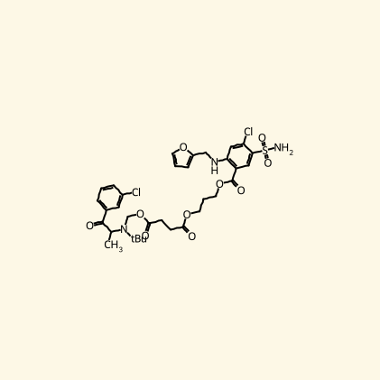 CC(C(=O)c1cccc(Cl)c1)N(COC(=O)CCC(=O)OCCCOC(=O)c1cc(S(N)(=O)=O)c(Cl)cc1NCc1ccco1)C(C)(C)C